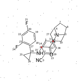 N#Cc1ccc(N2C3CCC2CN(C(=O)CNC2(c4ccc(F)cc4F)CC2)C3)cc1